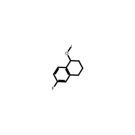 Fc1ccc2c(c1)CCCC2OI